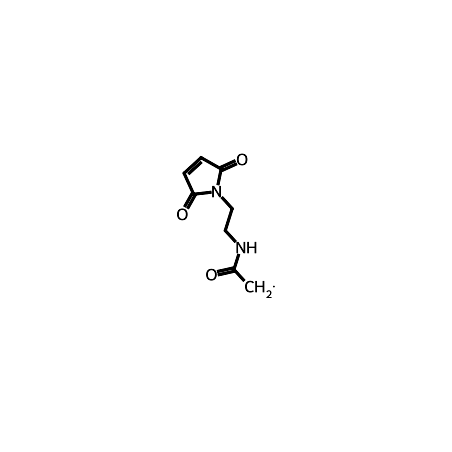 [CH2]C(=O)NCCN1C(=O)C=CC1=O